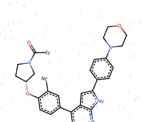 CCC(=O)N1CC[C@@H](Oc2ccc(-c3ccnc4[nH]c(-c5ccc(N6CCOCC6)cc5)cc34)cc2C#N)C1